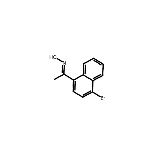 CC(=NO)c1ccc(Br)c2ccccc12